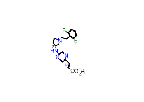 O=C(O)/C=C/c1cnc(N[C@@H]2CCN(CCc3c(F)cccc3F)C2)cn1